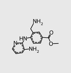 COC(=O)c1ccc(Nc2ncccc2N)c(CN)c1